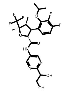 CC(C)Oc1c([C@H]2[C@H](C(=O)Nc3cnc(C(O)CO)nc3)O[C@@](C)(C(F)(F)F)[C@H]2C)ccc(F)c1F